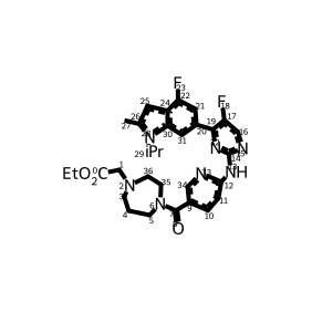 CCOC(=O)CN1CCCN(C(=O)c2ccc(Nc3ncc(F)c(-c4cc(F)c5cc(C)n(C(C)C)c5c4)n3)nc2)CC1